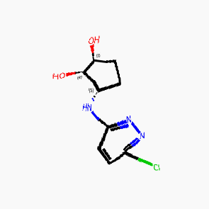 O[C@@H]1[C@@H](Nc2ccc(Cl)nn2)CC[C@@H]1O